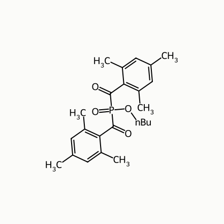 CCCCOP(=O)(C(=O)c1c(C)cc(C)cc1C)C(=O)c1c(C)cc(C)cc1C